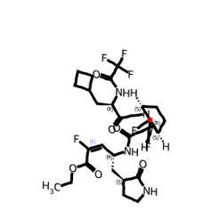 CCOC(=O)/C(F)=C\[C@@H](C[C@@H]1CCNC1=O)NC(=O)[C@H]1[C@@H]2CC[C@@H](CC2(F)F)N1C(=O)[C@@H](CC1CCC1)NC(=O)C(F)(F)F